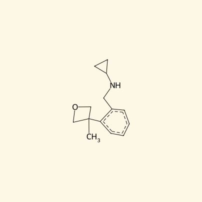 CC1(c2ccccc2CNC2CC2)COC1